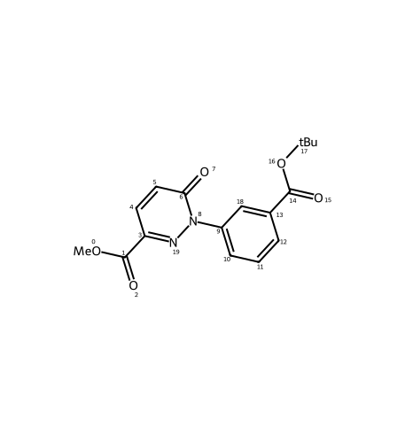 COC(=O)c1ccc(=O)n(-c2cccc(C(=O)OC(C)(C)C)c2)n1